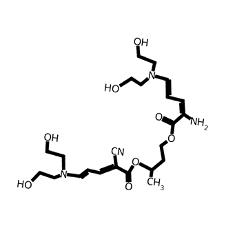 CC(CCOC(=O)/C(N)=C\C=C\N(CCO)CCO)OC(=O)/C(C#N)=C/C=C/N(CCO)CCO